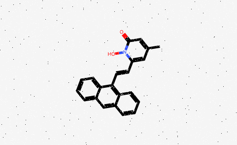 Cc1cc(C=Cc2c3ccccc3cc3ccccc23)n(O)c(=O)c1